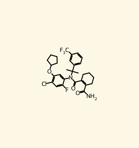 CC(C)(c1cccc(C(F)(F)F)c1)N(C(=O)C1=C(C(N)=O)CCCC1)c1cc(OC2CCCC2)c(Cl)cc1F